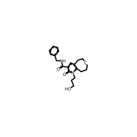 O=C(NCc1ccccc1)c1cc2c(n(CCCO)c1=O)CCCCCC2